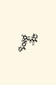 CC1(C)OCCn2c1nc(C(=O)NCc1ccc(F)cc1S(=O)(=O)N1CCN(C(=O)N3CCOCC3)CC1)c(O)c2=O